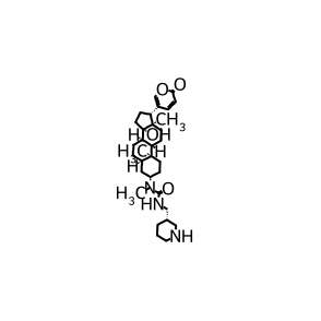 CN(C(=O)NC[C@H]1CCCNC1)[C@H]1CC[C@@]2(C)[C@H](CC[C@@H]3[C@@H]2CC[C@]2(C)[C@@H](c4ccc(=O)oc4)CC[C@]32O)C1